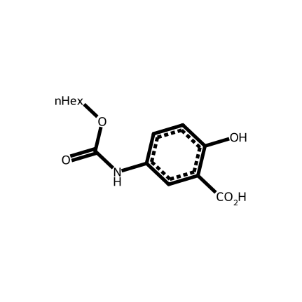 CCCCCCOC(=O)Nc1ccc(O)c(C(=O)O)c1